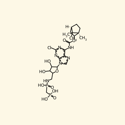 CC1(C)[C@@H]2CC[C@@]1(C)C(OC(=O)Nc1nc(Cl)nc3c1ncn3C1OC(CNP(=O)(O)CP(=O)(O)O)C(O)C1O)C2